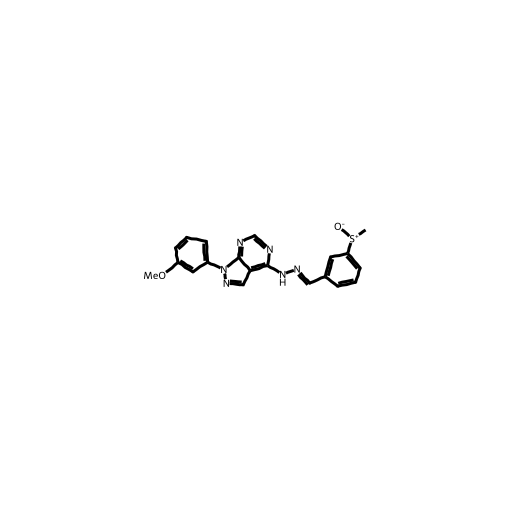 COc1cccc(-n2ncc3c(N/N=C/c4cccc([S+](C)[O-])c4)ncnc32)c1